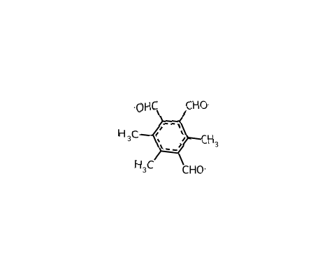 Cc1c(C)c([C]=O)c([C]=O)c(C)c1[C]=O